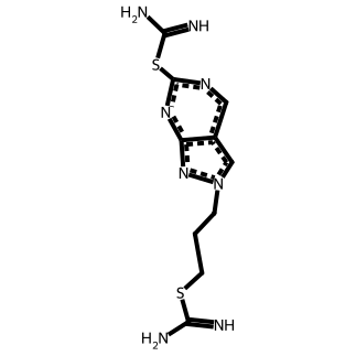 N=C(N)SCCCn1cc2cnc(SC(=N)N)nc2n1